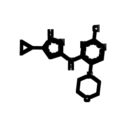 Clc1ncc(N2CCOCC2)c(Nc2cc(C3CC3)[nH]n2)n1